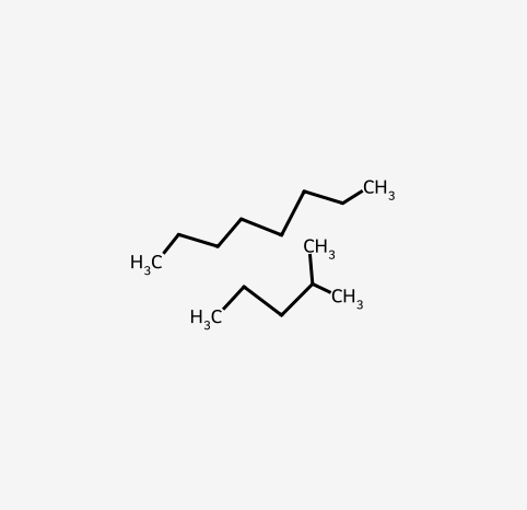 CCCC(C)C.CCCCCCCC